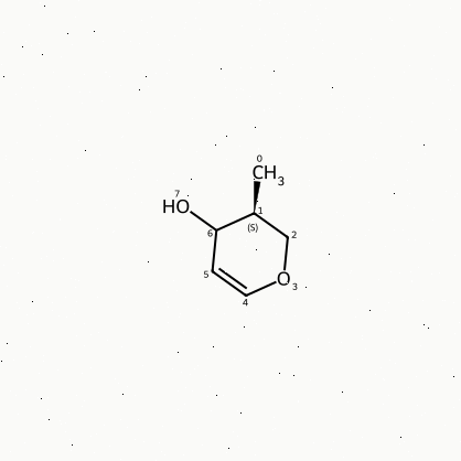 C[C@H]1COC=CC1O